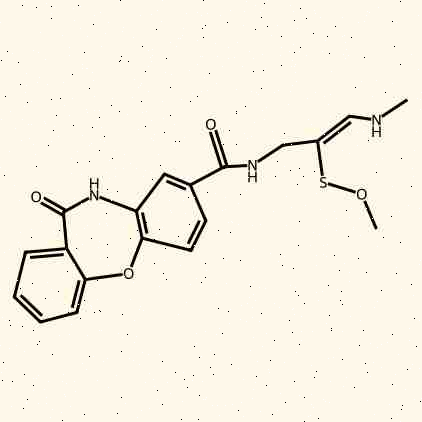 CN/C=C(/CNC(=O)c1ccc2c(c1)NC(=O)c1ccccc1O2)SOC